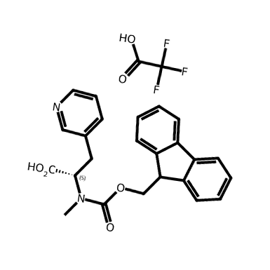 CN(C(=O)OCC1c2ccccc2-c2ccccc21)[C@@H](Cc1cccnc1)C(=O)O.O=C(O)C(F)(F)F